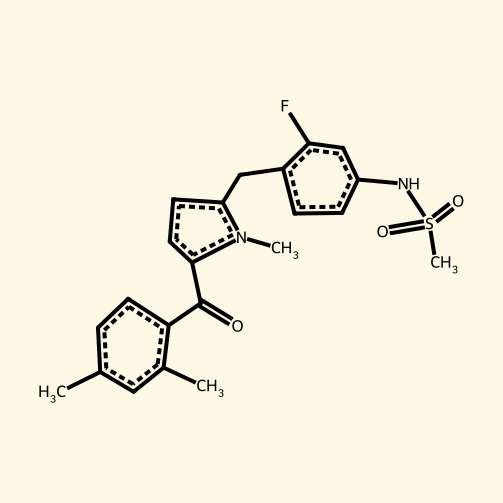 Cc1ccc(C(=O)c2ccc(Cc3ccc(NS(C)(=O)=O)cc3F)n2C)c(C)c1